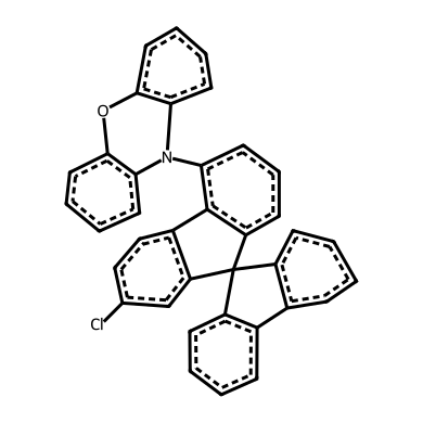 Clc1ccc2c(c1)C1(c3ccccc3-c3ccccc31)c1cccc(N3c4ccccc4Oc4ccccc43)c1-2